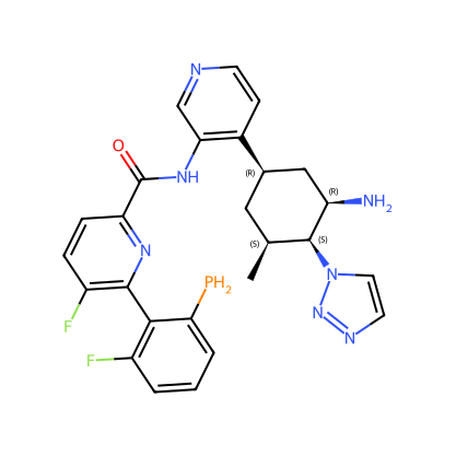 C[C@H]1C[C@@H](c2ccncc2NC(=O)c2ccc(F)c(-c3c(F)cccc3P)n2)C[C@@H](N)[C@H]1n1ccnn1